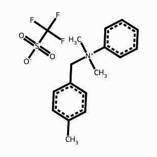 Cc1ccc(C[N+](C)(C)c2ccccc2)cc1.O=S(=O)([O-])C(F)(F)F